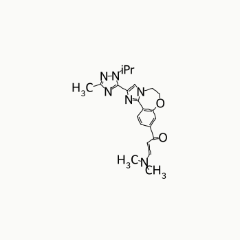 Cc1nc(-c2cn3c(n2)-c2ccc(C(=O)C=CN(C)C)cc2OCC3)n(C(C)C)n1